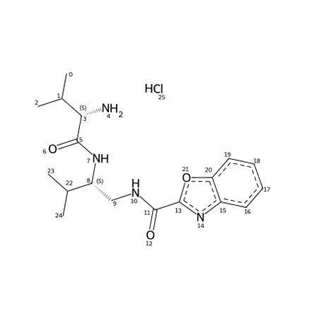 CC(C)[C@H](N)C(=O)N[C@H](CNC(=O)c1nc2ccccc2o1)C(C)C.Cl